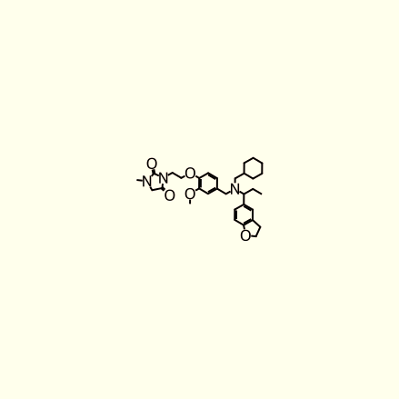 CCC(c1ccc2c(c1)CCO2)N(Cc1ccc(OCCN2C(=O)CN(C)C2=O)c(OC)c1)CC1CCCCC1